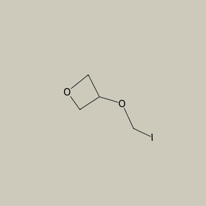 ICOC1COC1